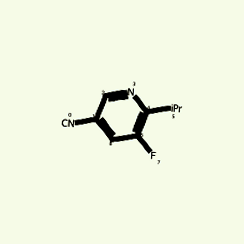 [C-]#[N+]c1cnc(C(C)C)c(F)c1